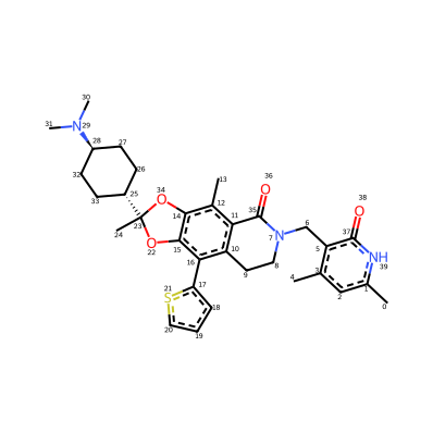 Cc1cc(C)c(CN2CCc3c(c(C)c4c(c3-c3cccs3)OC(C)([C@H]3CC[C@H](N(C)C)CC3)O4)C2=O)c(=O)[nH]1